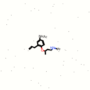 C=CCc1cc(NC(C)=O)ccc1OC(C)CCNC(C)C